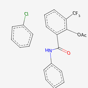 CC(=O)Oc1c(C(=O)Nc2ccccc2)cccc1C(F)(F)F.Clc1ccccc1